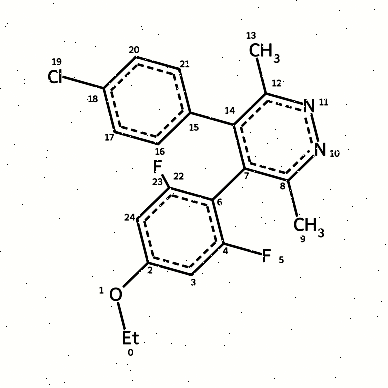 CCOc1cc(F)c(-c2c(C)nnc(C)c2-c2ccc(Cl)cc2)c(F)c1